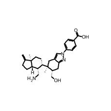 C=C1CC[C@H]2[C@@H](CN)[C@@H]([C@@]3(C)Cc4cn(-c5ccc(C(=O)O)cc5)nc4C[C@@H]3CO)CC[C@]12C